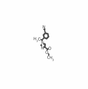 CCOC(=O)c1cn(C(C)c2cccc(C#N)c2)cn1